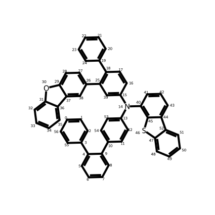 c1ccc(-c2ccccc2-c2ccc(N(c3ccc(-c4ccccc4)c(-c4ccc5oc6ccccc6c5c4)c3)c3cccc4c3sc3ccccc34)cc2)cc1